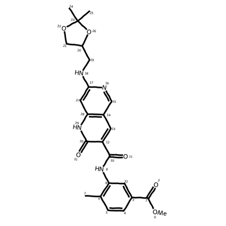 COC(=O)c1ccc(C)c(NC(=O)c2cc3cnc(NCC4COC(C)(C)O4)cc3[nH]c2=O)c1